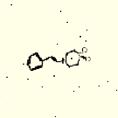 O=S1(=O)CCN(/C=C/c2ccccc2)CC1